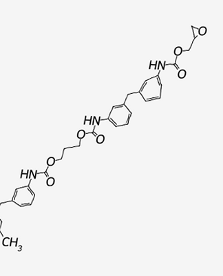 Cc1cccc(Cc2cccc(NC(=O)OCCCOC(=O)Nc3cccc(Cc4cccc(NC(=O)OCC5CO5)c4)c3)c2)c1